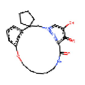 O=C1NCCCCCOc2cccc(c2)C2(CCCC2)Cn2cc(O)c(=O)c1n2